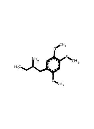 CCC(N)Cc1cc(OC)c(SC)cc1OC